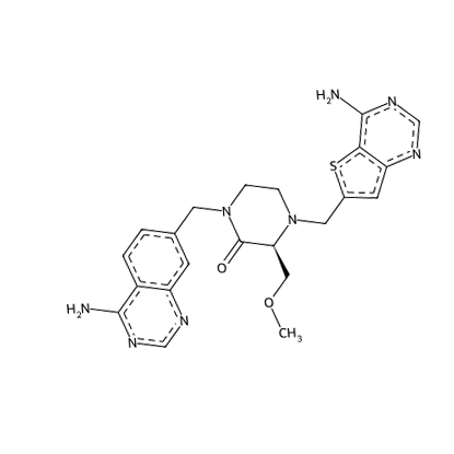 COC[C@H]1C(=O)N(Cc2ccc3c(N)ncnc3c2)CCN1Cc1cc2ncnc(N)c2s1